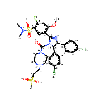 CCOc1cc(F)c(S(=O)(=O)N(C)C)cc1C1=NC(c2ccc(Cl)cc2)C(c2ccc(Cl)cc2)N1C(=O)N1CCN(CCS(C)(=O)=O)CC1